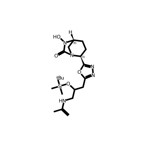 C=C(C)NCC(Cc1nnc([C@@H]2CC[C@@H]3CN2C(=O)N3O)o1)O[Si](C)(C)C(C)(C)C